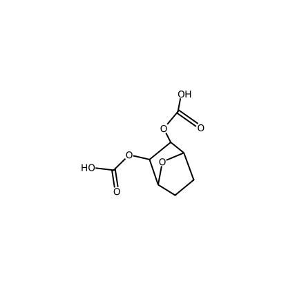 O=C(O)OC1C2CCC(O2)C1OC(=O)O